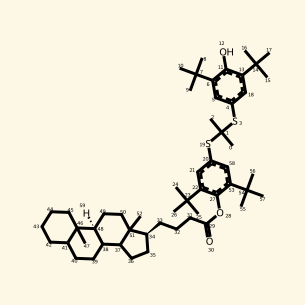 CC(C)(Sc1cc(C(C)(C)C)c(O)c(C(C)(C)C)c1)Sc1cc(C(C)(C)C)c(OC(=O)CCC[C@H]2CCC3C4CCC5CCCCC5(C)[C@H]4CCC32C)c(C(C)(C)C)c1